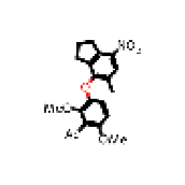 COc1ccc(Oc2c(C)cc([N+](=O)[O-])c3c2CCC3)c(OC)c1C(C)=O